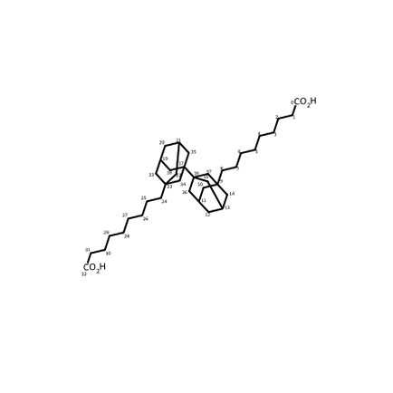 O=C(O)CCCCCCCCC12CC3CC(C1)CC(C14CC5CC(CC(CCCCCCCCC(=O)O)(C5)C1)C4)(C3)C2